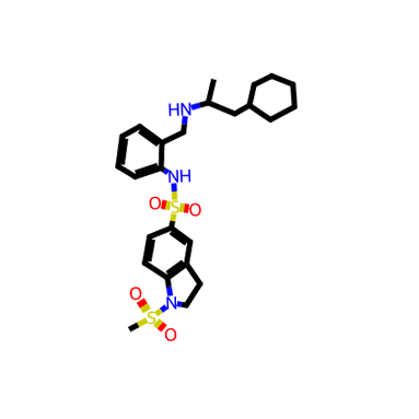 CC(CC1CCCCC1)NCc1ccccc1NS(=O)(=O)c1ccc2c(c1)CCN2S(C)(=O)=O